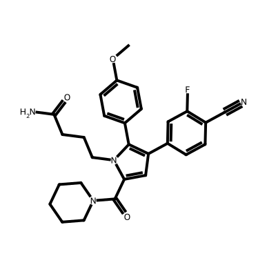 COc1ccc(-c2c(-c3ccc(C#N)c(F)c3)cc(C(=O)N3CCCCC3)n2CCCC(N)=O)cc1